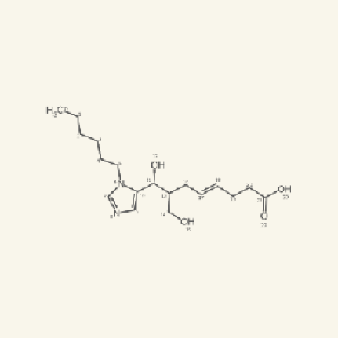 CCCCCCn1cncc1[C@@H](O)[C@H](CO)CC=CCCC(=O)O